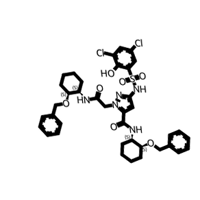 O=C(Cn1nc(NS(=O)(=O)c2cc(Cl)cc(Cl)c2O)cc1C(=O)N[C@H]1CCCC[C@@H]1OCc1ccccc1)N[C@H]1CCCC[C@@H]1OCc1ccccc1